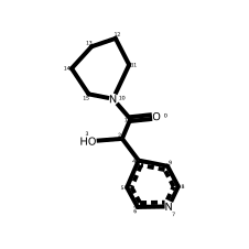 O=C(C(O)c1c[c]ncc1)N1CCCCC1